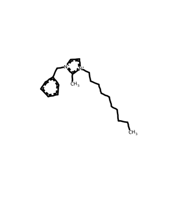 CCCCCCCCCC[n+]1ccn(Cc2ccccc2)c1C